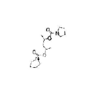 CC(CC(C)OC(=O)N1CCCC1)OC(=O)N1CCCC1